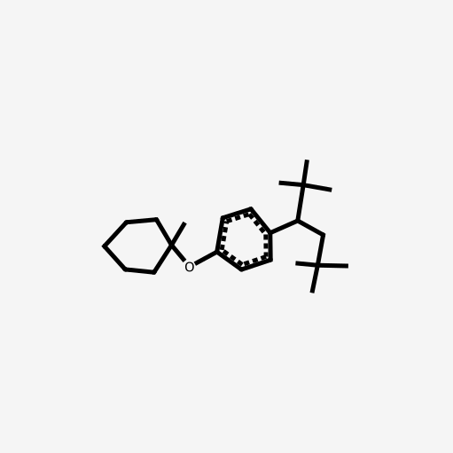 CC(C)(C)CC(c1ccc(OC2(C)CCCCC2)cc1)C(C)(C)C